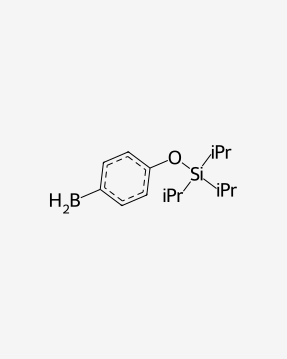 Bc1ccc(O[Si](C(C)C)(C(C)C)C(C)C)cc1